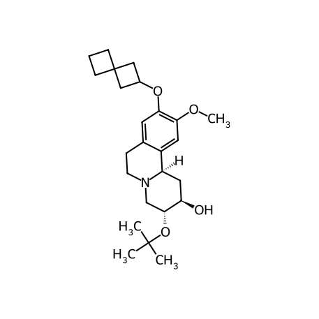 COc1cc2c(cc1OC1CC3(CCC3)C1)CCN1C[C@@H](OC(C)(C)C)[C@H](O)C[C@H]21